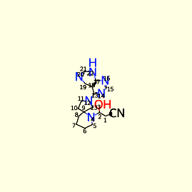 N#CCC(O)N1CCCCC12CCN(c1ncnc3c1CN=CN3)C2